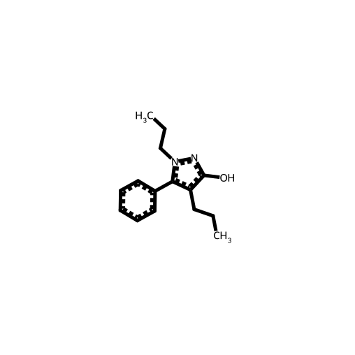 CCCc1c(O)nn(CCC)c1-c1ccccc1